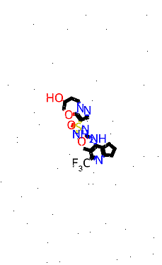 Cc1c(C(F)(F)F)nc2c(c1NC(=O)N=S(N)(=O)c1cnn3c1OC[C@H](O)CC3)CCC2